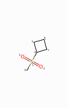 CS(=O)(=O)C1C[CH]C1